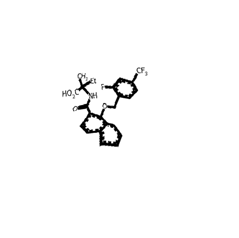 CCC(C)(NC(=O)c1ccc2ccccc2c1OCc1ccc(C(F)(F)F)cc1F)C(=O)O